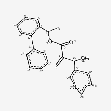 C=C(C(=O)OC(C)c1ccccc1-c1ccccc1)C(O)c1cccnc1